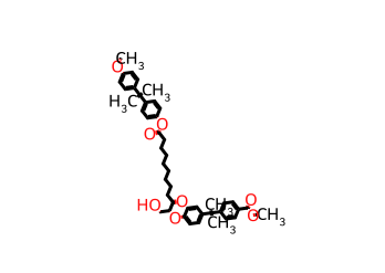 COC(=O)c1ccc(C(C)(C)c2ccc(OC(CO)C(=O)CCCCCCCCC(=O)Oc3ccc(C(C)(C)c4ccc(OC)cc4)cc3)cc2)cc1